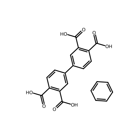 O=C(O)c1ccc(-c2ccc(C(=O)O)c(C(=O)O)c2)cc1C(=O)O.c1ccccc1